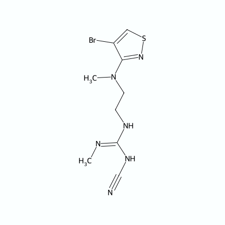 CN=C(NC#N)NCCN(C)c1nscc1Br